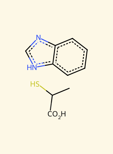 CC(S)C(=O)O.c1ccc2[nH]cnc2c1